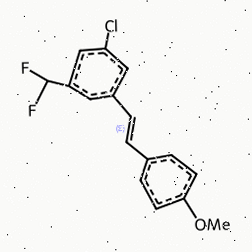 COc1ccc(/C=C/c2cc(Cl)cc(C(F)F)c2)cc1